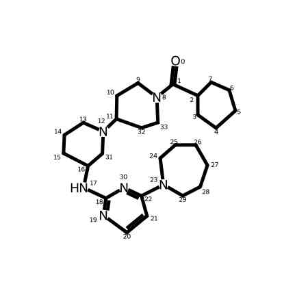 O=C(C1CCCCC1)N1CCC(N2CCCC(Nc3nccc(N4CCCCCC4)n3)C2)CC1